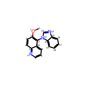 COc1ccc2ncccc2c1-n1cnc2ccccc21